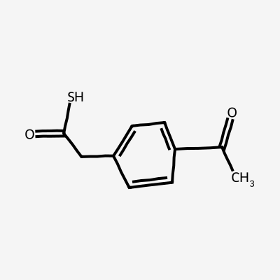 CC(=O)c1ccc(CC(=O)S)cc1